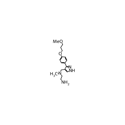 COCCCOc1ccc(-c2n[nH]cc2CN(C)CCN)cc1